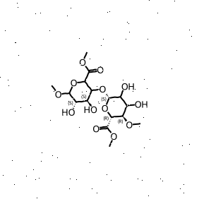 COC(=O)C1OC(OC)[C@@H](O)[C@H](O)C1O[C@H]1O[C@@H](C(=O)OC)[C@H](OC)C(O)C1O